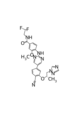 COc1cc(C(=O)NCC(F)F)ccc1Nc1ncc(-c2ccc(C#N)c(O[C@@H](C)Cn3cncn3)c2)cn1